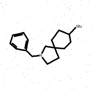 CC(C)(C)C1CCC2(CC1)CCN(Cc1ccccc1)C2